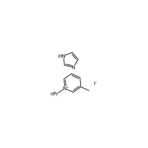 CCC[n+]1cccc(C)c1.[I-].c1c[nH]cn1